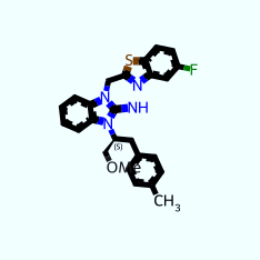 COC[C@H](Cc1ccc(C)cc1)n1c(=N)n(Cc2nc3cc(F)ccc3s2)c2ccccc21